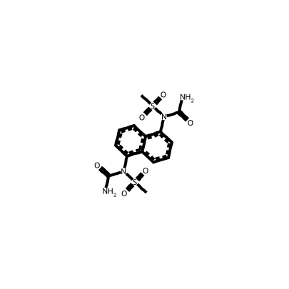 CS(=O)(=O)N(C(N)=O)c1cccc2c(N(C(N)=O)S(C)(=O)=O)cccc12